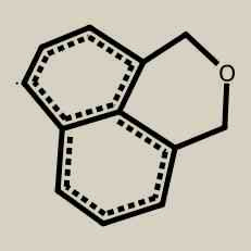 [c]1ccc2c3c(cccc13)COC2